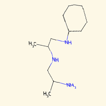 CC(N)CNC(C)CNC1CCCCC1